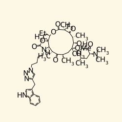 CC[C@H]1OC(=O)[C@@](C)(F)C(=O)[C@H](C)[C@@H](OC2O[C@H](C)C[C@H](N(C)C)[C@H]2O)[C@@](C)(OC)C[C@@H](C)C(=O)[C@H](C)[C@H]2N(CCCCn3cc(Cc4c[nH]c5ccccc45)nn3)C(=O)O[C@]12C